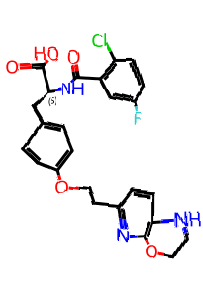 O=C(N[C@@H](Cc1ccc(OCCc2ccc3c(n2)OCCN3)cc1)C(=O)O)c1cc(F)ccc1Cl